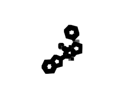 O=c1n(C2Cc3ccccc3C2)nc2n1[C@H](c1ccccc1)CC2